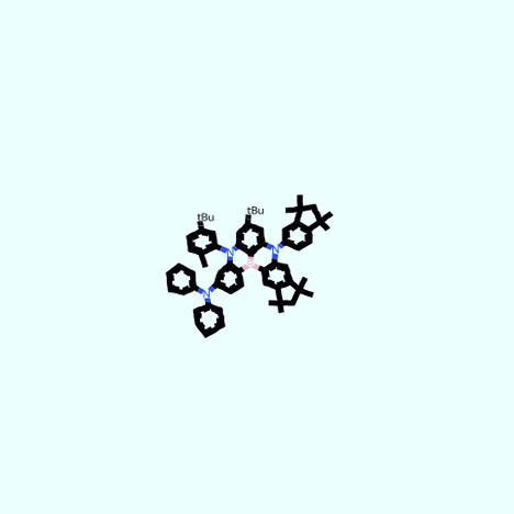 Cc1ccc(C(C)(C)C)cc1N1c2cc(N(c3ccccc3)c3ccccc3)ccc2B2c3cc4c(cc3N(c3ccc5c(c3)C(C)(C)CC5(C)C)c3cc(C(C)(C)C)cc1c32)C(C)(C)CC4(C)C